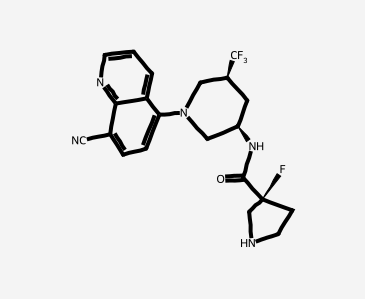 N#Cc1ccc(N2C[C@H](NC(=O)[C@]3(F)CCNC3)C[C@H](C(F)(F)F)C2)c2cccnc12